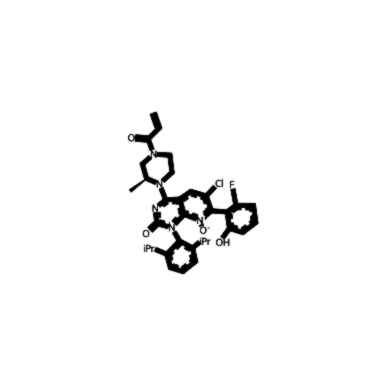 C=CC(=O)N1CCN(c2nc(=O)n(-c3c(C(C)C)cccc3C(C)C)c3c2cc(Cl)c(-c2c(O)cccc2F)[n+]3[O-])[C@@H](C)C1